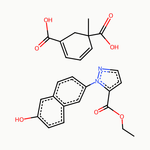 CC1(C(=O)O)C=CC=C(C(=O)O)C1.CCOC(=O)c1ccnn1-c1ccc2cc(O)ccc2c1